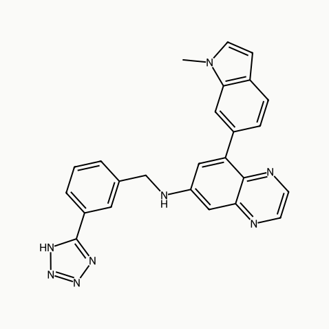 Cn1ccc2ccc(-c3cc(NCc4cccc(-c5nnn[nH]5)c4)cc4nccnc34)cc21